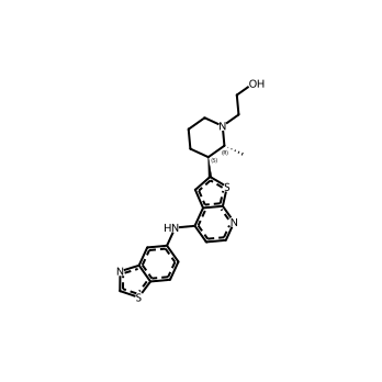 C[C@@H]1[C@@H](c2cc3c(Nc4ccc5scnc5c4)ccnc3s2)CCCN1CCO